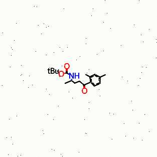 Cc1ccc(C(=O)CCC(C)NC(=O)OC(C)(C)C)c(C)c1